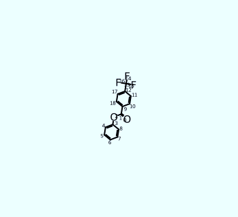 O=C(Oc1ccccc1)c1ccc(C(F)(F)F)cc1